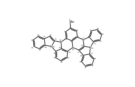 CC(C)(C)c1cc2c3c(c1)-n1c4ccccc4n4c5ccccc5c(c14)B3c1cccc3c1n-2c1cc2ccccc2n31